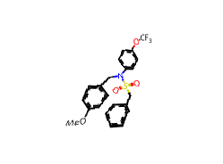 COc1ccc(CN(c2ccc(OC(F)(F)F)cc2)S(=O)(=O)Cc2ccccc2)cc1